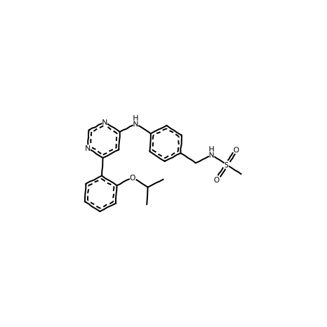 CC(C)Oc1ccccc1-c1cc(Nc2ccc(CNS(C)(=O)=O)cc2)ncn1